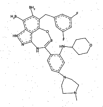 Bc1c(Cc2cc(F)cc(F)c2)c2c3c(n[nH]c3c1B)NC(c1ccc(N3CCN(C)CC3)cc1NC1CCOCC1)=BO2